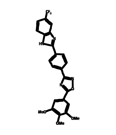 COc1cc(-c2nc(-c3ccc(-c4nc5cc(C(F)(F)F)ccc5[nH]4)cc3)no2)cc(OC)c1OC